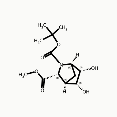 COC(=O)[C@H]1[C@H]2C[C@H]([C@H](O)[C@@H]2O)N1C(=O)OC(C)(C)C